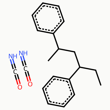 CCC(CC(C)c1ccccc1)c1ccccc1.N=C=O.N=C=O